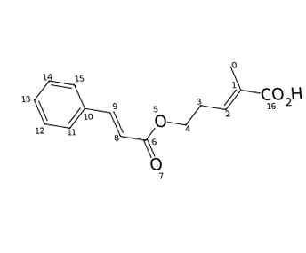 CC(=CCCOC(=O)C=Cc1ccccc1)C(=O)O